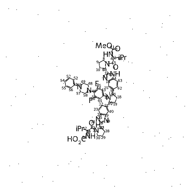 COC(=O)N[C@H](C(=O)N1CCC[C@H]1c1nc2cc([C@H]3CC[C@H](c4ccc5[nH]c([C@@H]6CCCN6C(=O)[C@@H](NC(=O)O)C(C)C)nc5c4)N3c3cc(F)c(N4CCN(c5ccccc5)CC4)c(F)c3)ccc2[nH]1)C(C)C